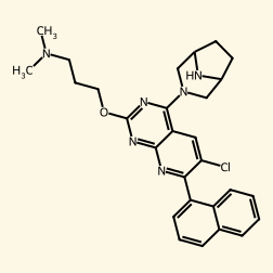 CN(C)CCCOc1nc(N2CC3CCC(C2)N3)c2cc(Cl)c(-c3cccc4ccccc34)nc2n1